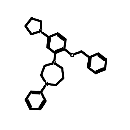 c1ccc(COc2ccc(N3CCCC3)cc2N2CCCN(c3ccccc3)CC2)cc1